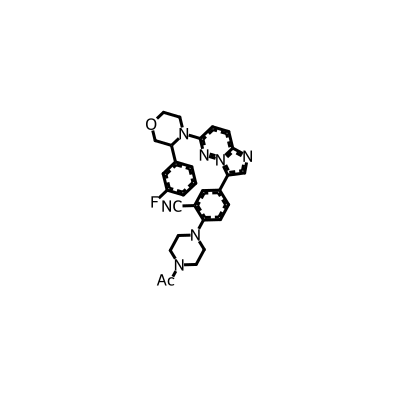 CC(=O)N1CCN(c2ccc(-c3cnc4ccc(N5CCOCC5c5cccc(F)c5)nn34)cc2C#N)CC1